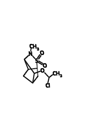 CC(Cl)OC1C2CC3C1N(C)S(=O)(=O)C3C2